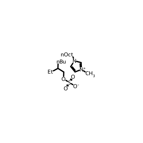 CCCCC(CC)COS(=O)(=O)[O-].CCCCCCCCn1cc[n+](C)c1